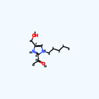 CCCCCn1cc(CO)nc1C(C)=O